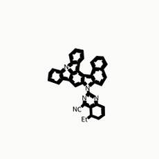 CCC1CC=Cc2nc(-n3c4ccc5ccccc5c4c4c5c6ccccc6n6c7ccccc7c(cc43)c56)nc(C#N)c21